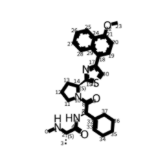 CN[C@@H](C)C(=O)N[C@H](C(=O)N1CCC[C@H]1c1nc(-c2ccc(OC)c3ccccc23)cs1)C1=CCCCC1